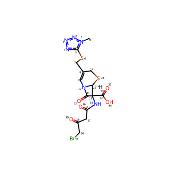 Cn1nnnc1SCC1=CN2C(=O)C(NC(=O)CC(=O)CBr)(C(=O)O)[C@@H]2SC1